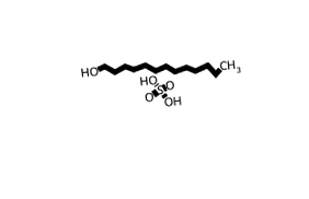 CCCCCCCCCCCCCO.O=S(=O)(O)O